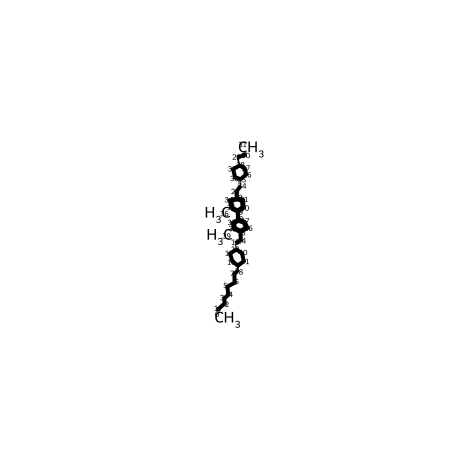 CCCCCCCCC[C@H]1CC[C@H](CCc2ccc(-c3ccc(CC[C@H]4CC[C@H](CCC)CC4)cc3C)cc2C)CC1